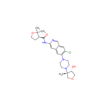 CC1(C)OCC[C@@H]1C(=O)Nc1cc2cc(N3CCN([C@@]4(C)COC[C@H]4O)CC3)c(Cl)cc2cn1